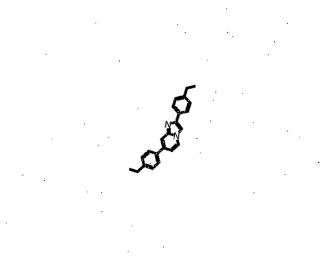 CCc1ccc(-c2ccn3cc(-c4ccc(CC)cc4)nc3c2)cc1